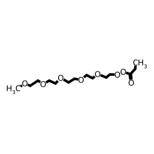 CCC(=O)OOCCOCCOCCOCCOCCOC